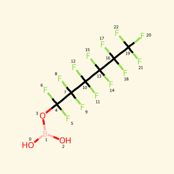 OB(O)OC(F)(F)C(F)(F)C(F)(F)C(F)(F)C(F)(F)C(F)(F)F